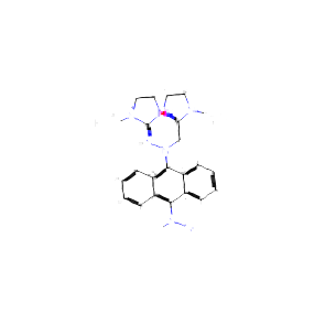 [CH]N([N])c1c2ccccc2c(N([CH]C2=NCCN2S(=O)(=O)O)N=C2NCCN2S(=O)(=O)O)c2ccccc12